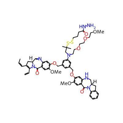 C=CC1=C(/C=C\C)C[C@H]2C=Nc3cc(OCc4cc(COc5cc6c(cc5OC)C(=O)N5c7ccccc7C[C@H]5CN6)cc(N(CCOCCOCCOC)CC(C)(C)SSCCCC(=O)NN)c4)c(OC)cc3C(=O)N12